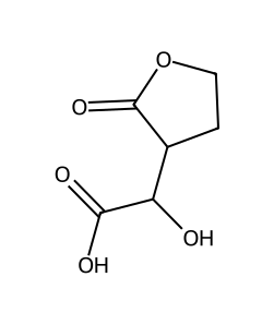 O=C(O)C(O)C1CCOC1=O